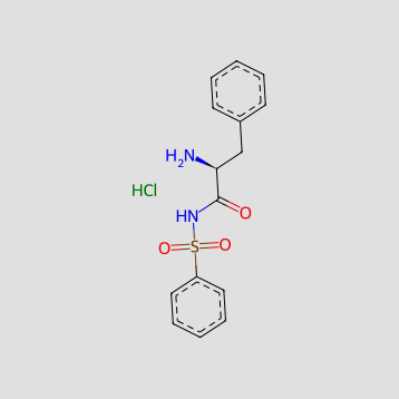 Cl.N[C@@H](Cc1ccccc1)C(=O)NS(=O)(=O)c1ccccc1